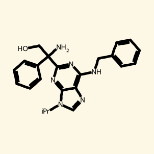 CC(C)n1cnc2c(NCc3ccccc3)nc(C(N)(CO)c3ccccc3)nc21